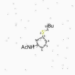 CCC(C)CSc1cccc(NC(C)=O)c1